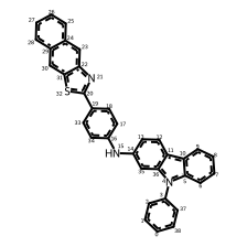 c1ccc(-n2c3ccccc3c3ccc(Nc4ccc(-c5nc6cc7ccccc7cc6s5)cc4)cc32)cc1